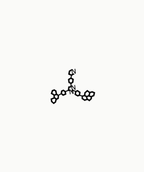 c1cncc(-c2ccc(-c3cc(-c4ccc(-c5cc6ccccc6c6ccccc56)cc4)nc(-c4ccc(-c5ccc6ccc7cccc8ccc5c6c78)cc4)n3)cc2)c1